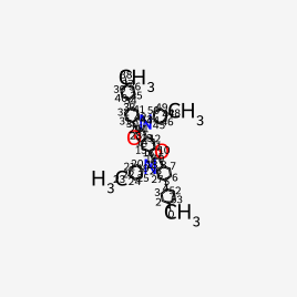 Cc1ccc(-c2ccc3c4oc5cc6c(cc5c4n(-c4ccc(C)cc4)c3c2)oc2c3ccc(-c4ccc(C)cc4)cc3n(-c3ccc(C)cc3)c62)cc1